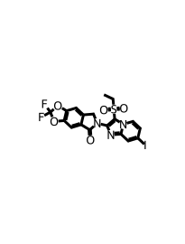 CCS(=O)(=O)c1c(N2Cc3cc4c(cc3C2=O)OC(F)(F)O4)nc2cc(I)ccn12